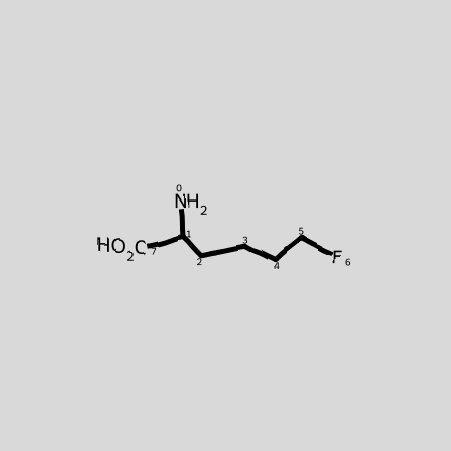 NC(CCCCF)C(=O)O